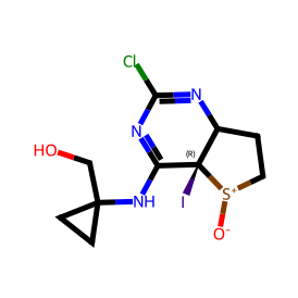 [O-][S+]1CCC2N=C(Cl)N=C(NC3(CO)CC3)[C@]21I